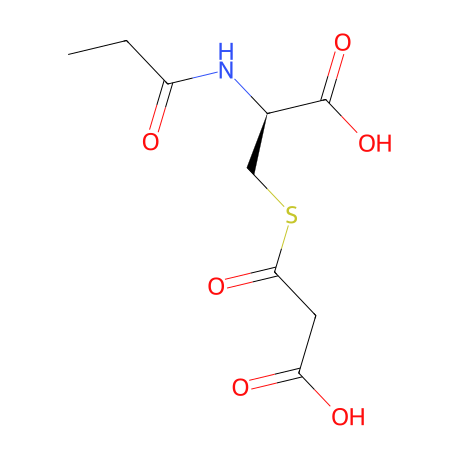 CCC(=O)N[C@H](CSC(=O)CC(=O)O)C(=O)O